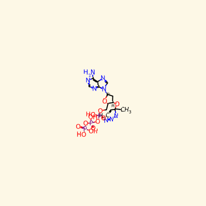 C=CC(C)(N=[N+]=[N-])O[C@@H]1C[C@H](n2cnc3c(N)ncnc32)OC1COP(=O)(O)OP(=O)(O)OP(=O)(O)O